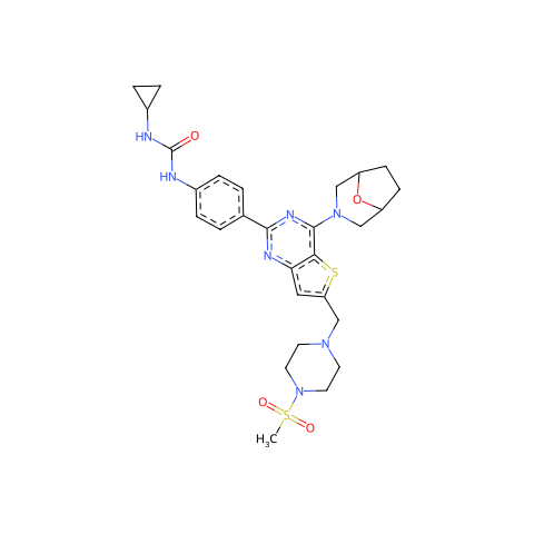 CS(=O)(=O)N1CCN(Cc2cc3nc(-c4ccc(NC(=O)NC5CC5)cc4)nc(N4CC5CCC(C4)O5)c3s2)CC1